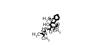 Cc1nc(NC(=O)C2=C(O)c3c(c4ccccc4n3C)S(=O)(=O)N2C)sc1C